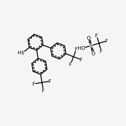 FC(F)(F)c1ccc(-c2cccc(S)c2-c2ccc(C(F)(F)F)cc2)cc1.O=S(=O)(O)C(F)(F)F